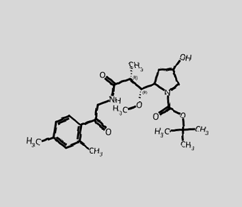 CO[C@@H](C1CC(O)CN1C(=O)OC(C)(C)C)[C@@H](C)C(=O)NCC(=O)c1ccc(C)cc1C